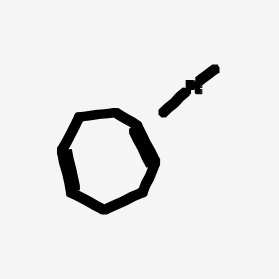 C1=CCCC=CCC1.[CH3][Pt][CH3]